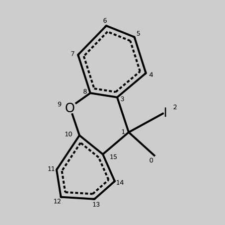 CC1(I)c2ccccc2Oc2ccccc21